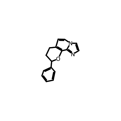 c1ccc(C2CCc3ccn4ccnc4c3O2)cc1